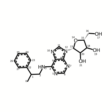 CC(CNc1ncnc2c1ncn2[C@@H]1O[C@H](CO)C(O)C1O)c1ccccc1